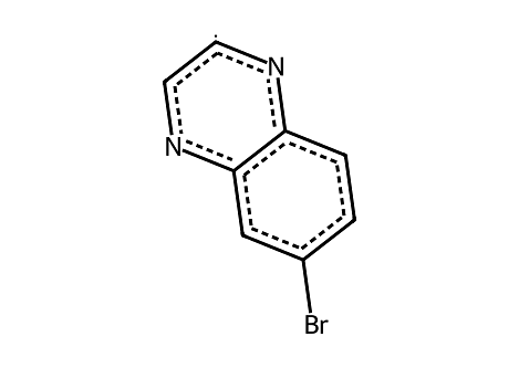 Brc1ccc2n[c]cnc2c1